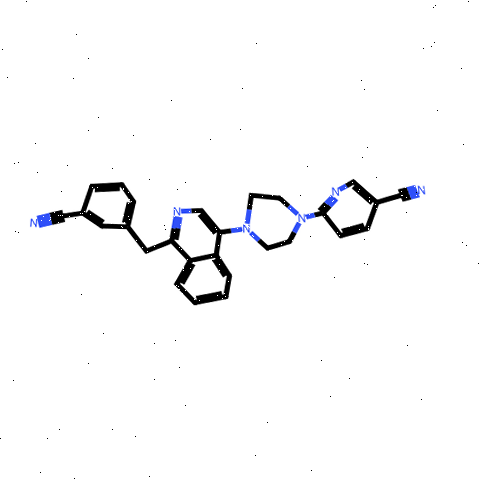 N#Cc1ccc(N2CCN(c3cnc(Cc4cccc(C#N)c4)c4ccccc34)CC2)nc1